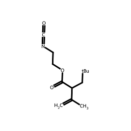 C=C(C)C(CC(C)(C)C)C(=O)OCCN=C=O